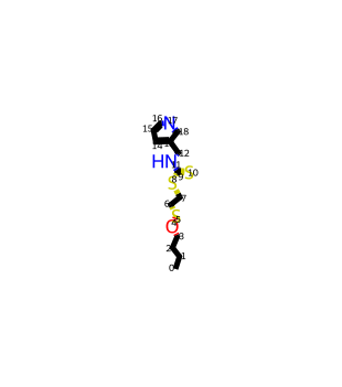 CCCCOSCCSC(=S)NCc1cccnc1